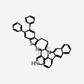 C1=CC(C2=N/c3sc4cc(-c5ccccc5)c(-c5ccccc5)cc4c3CC/C=C\2n2c3ccccc3c3cc4ccccc4cc32)=CNC1